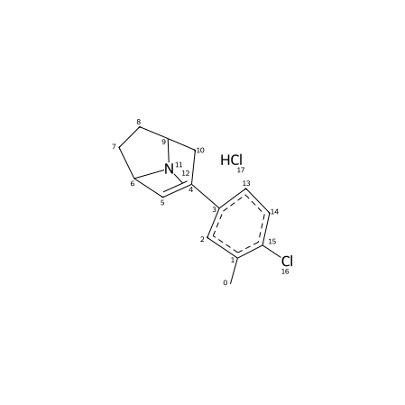 Cc1cc(C2=CC3CCC(C2)N3C)ccc1Cl.Cl